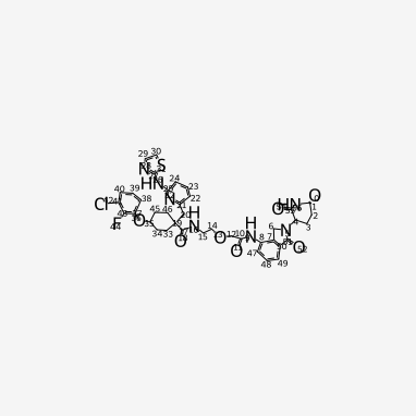 O=C1CCC(N2Cc3c(NC(=O)COCCNC(=O)[C@]4(Cc5cccc(Nc6nccs6)n5)CC[C@@H](Oc5cccc(Cl)c5F)CC4)cccc3C2=O)C(=O)N1